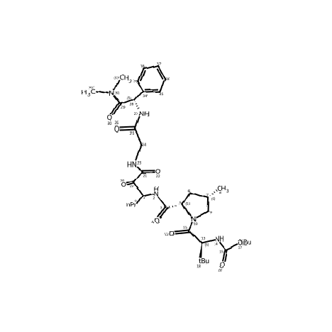 CCCC(NC(=O)[C@@H]1C[C@H](C)CN1C(=O)[C@@H](NC(=O)OCC(C)C)C(C)(C)C)C(=O)C(=O)NCC(=O)N[C@H](C(=O)N(C)C)c1ccccc1